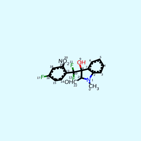 CN1c2ccccc2C(O)(C(F)(F)c2ccc(F)cc2[N+](=O)[O-])C1C=O